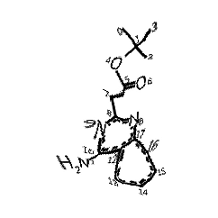 CC(C)(C)OC(=O)Cc1nc(N)c2ccccc2n1